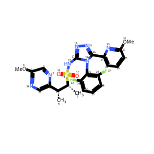 COc1cnc([C@@H](C)[C@@H](C)S(=O)(=O)Nc2nnc(-c3cccc(OC)n3)n2-c2c(F)cccc2F)cn1